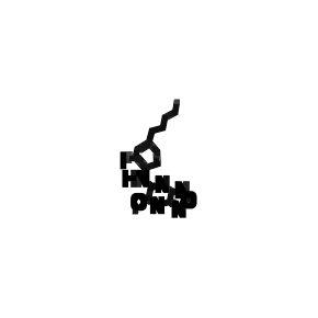 CCCCCc1ccc(Nc2nc3nonc3nc2OC)c(F)c1